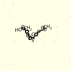 C=C(CC(=O)O)c1ccc(COc2ccc3scc(-c4ccc(OCCCS(C)(=O)=O)cc4C)c3c2)cc1